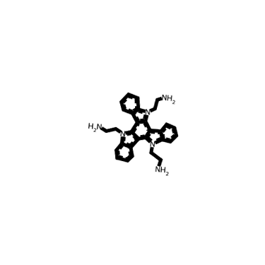 NCCn1c2ccccc2c2c1c1c3ccccc3n(CCN)c1c1c3ccccc3n(CCN)c21